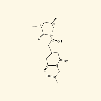 CC(=O)CN1C(=O)CC(C[C@H](O)[C@H]2C[C@H](C)C[C@@H](C)C2=O)CC1=O